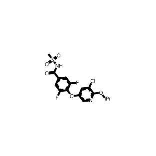 CC(C)Oc1ncc(Oc2c(F)cc(C(=O)NS(C)(=O)=O)cc2F)cc1Cl